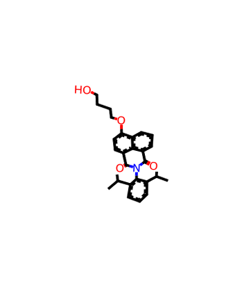 CC(C)c1cccc(C(C)C)c1N1C(=O)c2cccc3c(OCCCCO)ccc(c23)C1=O